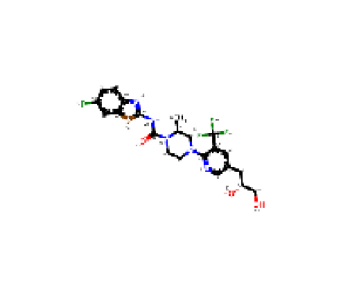 C[C@H]1CN(c2ncc(C[C@@H](O)CO)cc2C(F)(F)F)CCN1C(=O)Nc1nc2ccc(F)cc2s1